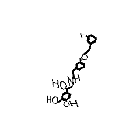 OCc1cc([C@@H](O)CNCCc2cccc(COCCc3cccc(F)c3)c2)ccc1O